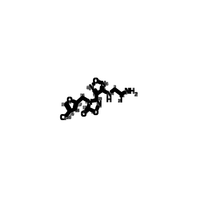 NC(I)CNc1nonc1-c1noc(=O)n1Cc1cc(Cl)co1